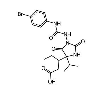 CCC(CC(=O)O)C1(C(C)C)NC(=O)N(NC(=O)Nc2ccc(Br)cc2)C1=O